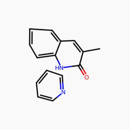 Cc1cc2ccccc2[nH]c1=O.c1ccncc1